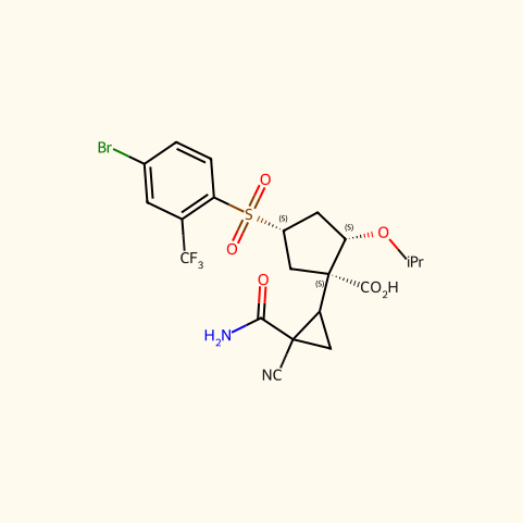 CC(C)O[C@H]1C[C@@H](S(=O)(=O)c2ccc(Br)cc2C(F)(F)F)C[C@]1(C(=O)O)C1CC1(C#N)C(N)=O